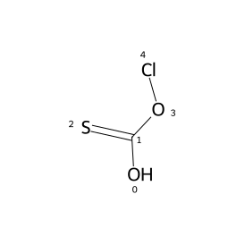 OC(=S)OCl